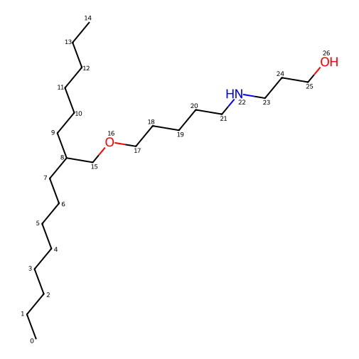 CCCCCCCCC(CCCCCC)COCCCCCNCCCO